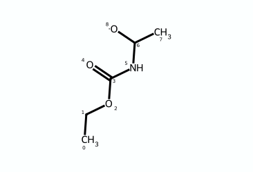 CCOC(=O)NC(C)[O]